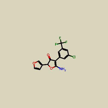 NC1=C(c2cc(Cl)cc(C(F)(F)F)c2)C(=O)C(c2ccoc2)O1